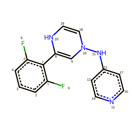 Fc1cccc(F)c1C1=CN(Nc2ccncc2)C=CN1